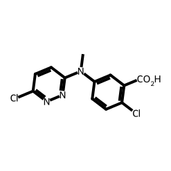 CN(c1ccc(Cl)c(C(=O)O)c1)c1ccc(Cl)nn1